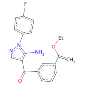 C=C(OCC)c1cccc(C(=O)c2cnn(-c3ccc(F)cc3)c2N)c1